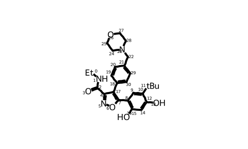 CCNC(=O)c1noc(-c2cc(C(C)(C)C)c(O)cc2O)c1-c1ccc(CN2CCOCC2)cc1